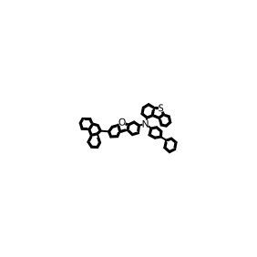 c1ccc(-c2ccc(N(c3ccc4c(c3)oc3cc(-c5cc6ccccc6c6ccccc56)ccc34)c3cccc4sc5ccccc5c34)cc2)cc1